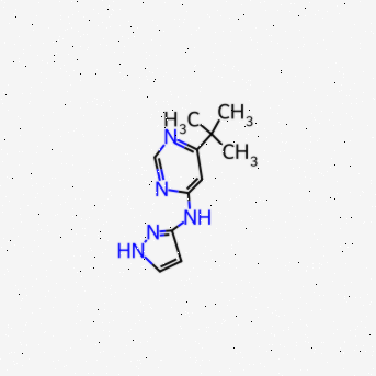 CC(C)(C)c1cc(Nc2cc[nH]n2)ncn1